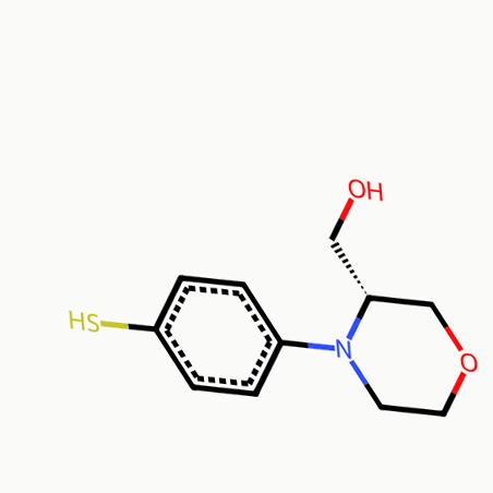 OC[C@@H]1COCCN1c1ccc(S)cc1